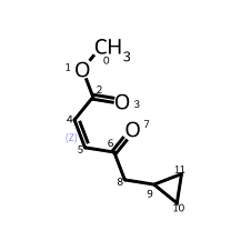 COC(=O)/C=C\C(=O)CC1CC1